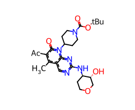 CC(=O)c1c(C)c2cnc(N[C@@H]3CCOC[C@H]3O)nc2n(C2CCN(C(=O)OC(C)(C)C)CC2)c1=O